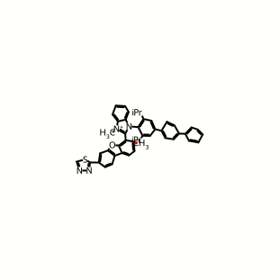 Cc1ccc2c(oc3cc(-c4nncs4)ccc32)c1-c1n(-c2c(C(C)C)cc(-c3ccc(-c4ccccc4)cc3)cc2C(C)C)c2ccccc2[n+]1C